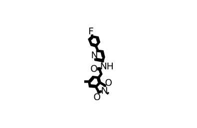 Cc1cc(CC(=O)Nc2ccc(-c3ccc(F)cc3)nc2)c2c(c1)C(=O)N(C)C2=O